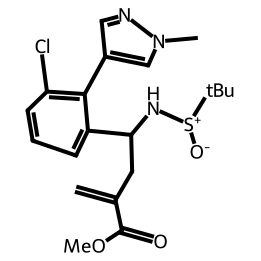 C=C(CC(N[S+]([O-])C(C)(C)C)c1cccc(Cl)c1-c1cnn(C)c1)C(=O)OC